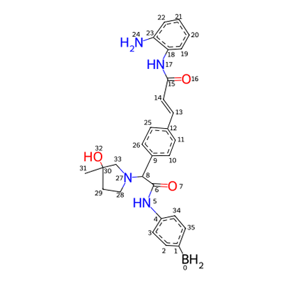 Bc1ccc(NC(=O)C(c2ccc(/C=C/C(=O)Nc3ccccc3N)cc2)N2CCC(C)(O)C2)cc1